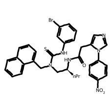 CCC[C@@H](CN(Cc1cccc2ccccc12)C(=S)Nc1cccc(Br)c1)NC(=O)Cc1cncn1-c1ccc([N+](=O)[O-])cc1